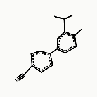 Cc1ccc(-c2ccc(C#N)cc2)cc1C(C)C